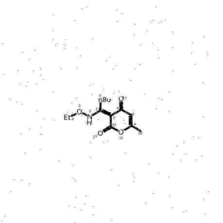 CCCCC(NOCC)=C1C(=O)C=C(C)OC1=O